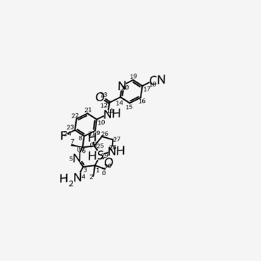 CC1(C)C(N)=N[C@](C)(c2cc(NC(=O)c3ccc(C#N)cn3)ccc2F)[C@@H]2CCN[SH]21=O